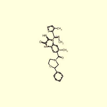 C/N=C(/c1sccc1C)n1c(=N)c(=O)[nH]c2cc(C(=O)N3CCOC(c4ccccc4)C3)c(C)cc21